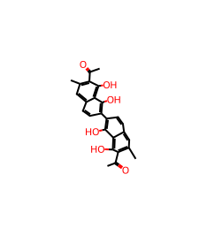 CC(=O)c1c(C)cc2ccc(-c3ccc4cc(C)c(C(C)=O)c(O)c4c3O)c(O)c2c1O